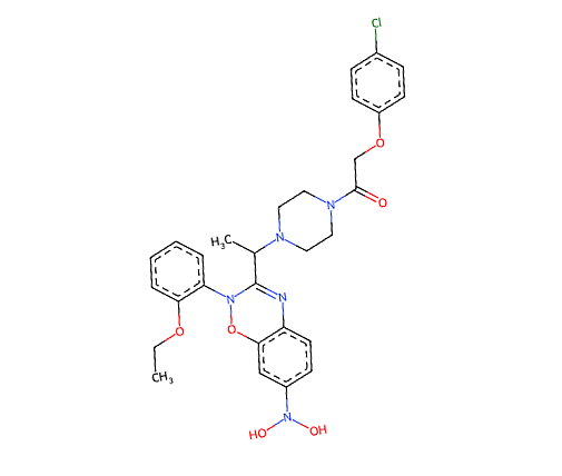 CCOc1ccccc1N1Oc2cc(N(O)O)ccc2N=C1C(C)N1CCN(C(=O)COc2ccc(Cl)cc2)CC1